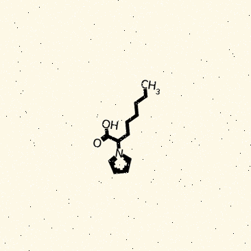 CCCCCCC(C(=O)O)n1cccc1